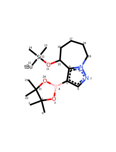 CC1(C)OB(c2cnn3c2C(O[Si](C)(C)C(C)(C)C)CCCC3)OC1(C)C